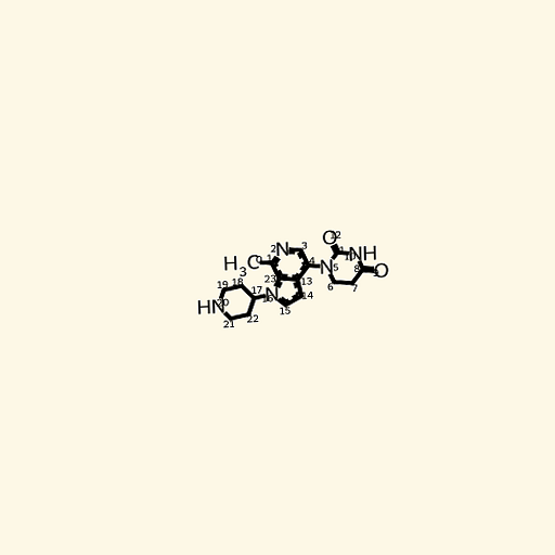 Cc1ncc(N2CCC(=O)NC2=O)c2ccn(C3CCNCC3)c12